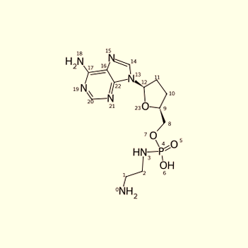 NCCNP(=O)(O)OC[C@@H]1CC[C@H](n2cnc3c(N)ncnc32)O1